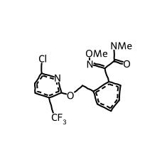 CNC(=O)C(=NOC)c1ccccc1COc1nc(Cl)ccc1C(F)(F)F